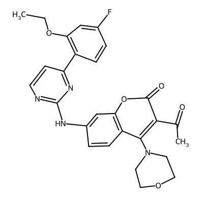 CCOc1cc(F)ccc1-c1ccnc(Nc2ccc3c(N4CCOCC4)c(C(C)=O)c(=O)oc3c2)n1